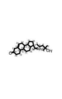 CC(C)(O)CCC[C@@]1(C=N)CCC2C3CC=C4CC(=O)CC[C@]4(C)C3CC[C@@]21C